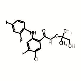 CC(C)(CO)ONC(=O)c1cc(Cl)c(F)cc1Nc1ccc(I)cc1F